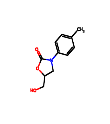 Cc1ccc(N2CC(CO)OC2=O)cc1